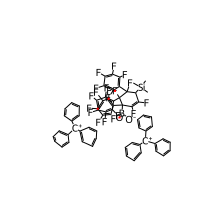 C[Si](C)(C)C1C(F)=C(F)C(B([O-])[O-])(c2c(F)c(F)c(F)c(F)c2F)C(F)(c2c(F)c(F)c(F)c(F)c2F)C1(F)c1c(F)c(F)c(F)c(F)c1F.c1ccc([C+](c2ccccc2)c2ccccc2)cc1.c1ccc([C+](c2ccccc2)c2ccccc2)cc1